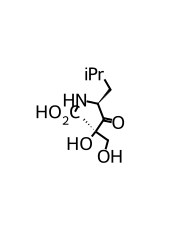 CC(C)C[C@H](NC(=O)O)C(=O)[C@](C)(O)CO